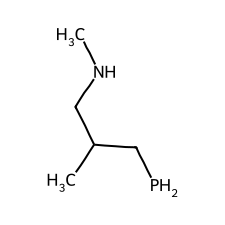 CNCC(C)CP